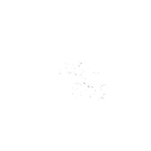 Cc1cc([C@@H](C)Nc2ccccc2-c2ccc3c(c2)C=NOB3O)c2oc(N3CCOCC3)c(C)c(=O)c2c1